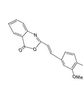 COc1cc(/C=C/c2nc3ccccc3c(=O)o2)ccc1C